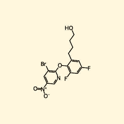 O=[N+]([O-])c1cnc(Oc2c(F)cc(F)cc2CCCCO)c(Br)c1